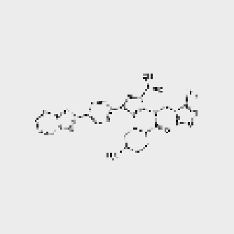 Cc1nonc1CN(C(=O)C1CCC(C)CC1)c1nn(-c2ccc(-c3cc4ncccn4n3)cc2)cc1C(=O)O